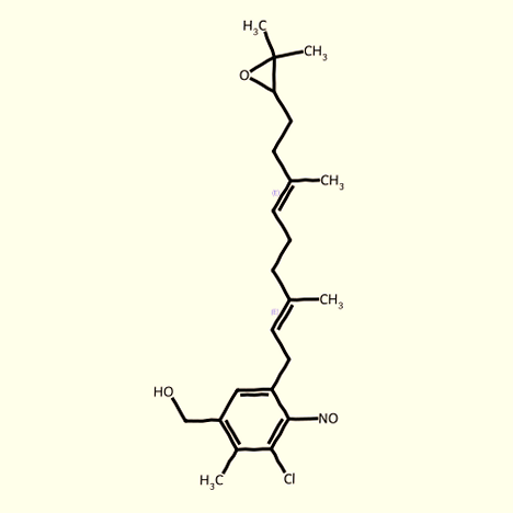 C/C(=C\Cc1cc(CO)c(C)c(Cl)c1N=O)CC/C=C(\C)CCC1OC1(C)C